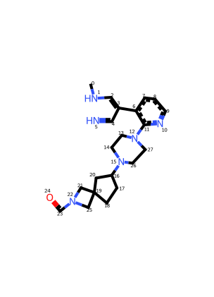 CN/C=C(\C=N)c1cccnc1N1CCN(C2CCC3(C2)CN(C=O)C3)CC1